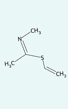 C=CS/C(C)=N\C